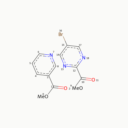 COC(=O)c1cccnc1.COC(=O)c1ncc(Br)cn1